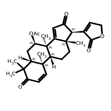 CC(=O)O[C@@H]1C[C@H]2C(C)(C)C(=O)C=C[C@]2(C)[C@H]2CC[C@]3(C)C(=CC(=O)[C@H]3C3=CCOC3=O)[C@@]21C